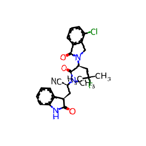 CN(C(=O)[C@H](CC(C)(C)F)N1Cc2c(Cl)cccc2C1=O)[C@H](C#N)C[C@H]1C(=O)Nc2ccccc21